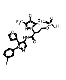 Cc1c(Cl)c(C(F)(F)F)nn1C(CCOS(C)(=O)=O)C(=O)Nc1cnn(-c2cccc(F)c2)c1-c1ccoc1